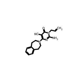 C=CCn1c(N)nc(N2CCc3ccccc3CC2)c(C#N)c1=O